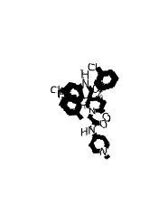 Cc1ccc(F)cc1[C@H]1N(CC(=O)NC2CCN(C)CC2)C(=O)C[C@@H](c2cccc(Cl)c2)[C@]12C(=O)Nc1cc(Cl)ccc12